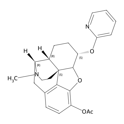 CC(=O)Oc1ccc2c3c1OC1[C@@H](Oc4ccccn4)CC[C@H]4[C@@H](C2)N(C)CC[C@]314